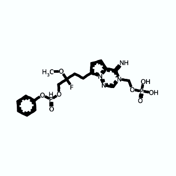 COC(F)(CCc1ccc2c(=N)n(COP(=O)(O)O)cnn12)CO[PH](=O)Oc1ccccc1